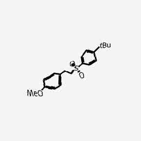 COc1ccc(CCS(=O)(=O)c2ccc(C(C)(C)C)cc2)cc1